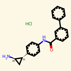 Cl.N[C@@H]1C[C@H]1c1ccc(NC(=O)c2cccc(-c3ccccc3)c2)cc1